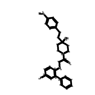 COc1ccc(CCC2(O)CCN(C(=O)COc3ccc(F)cc3-c3ccccc3)CC2)cc1